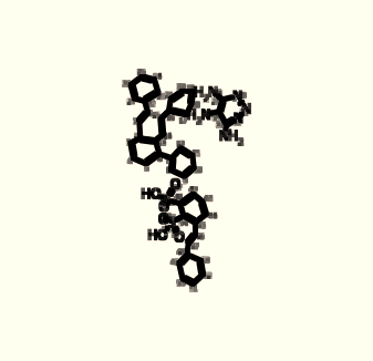 C(=Cc1cccc(-c2ccccc2)c1C=Cc1ccccc1)c1ccccc1.Nc1nnnc(N)c1N.O=S(=O)(O)c1cccc(C=Cc2ccccc2)c1S(=O)(=O)O